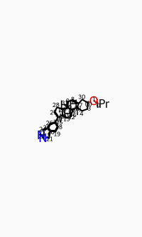 CC(C)O[C@H]1CC[C@@]2(C)C(=CC[C@@H]3[C@@H]2CC[C@]2(C)C(c4ccc5cnncc5c4)=CC[C@@H]32)C1